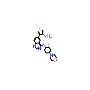 Nc1cscc1-c1ccc2ncnc(NC3CCC(N4CCOCC4)CC3)c2c1